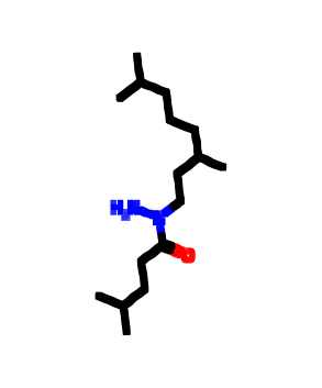 CC(C)CCCC(C)CCN(N)C(=O)CCC(C)C